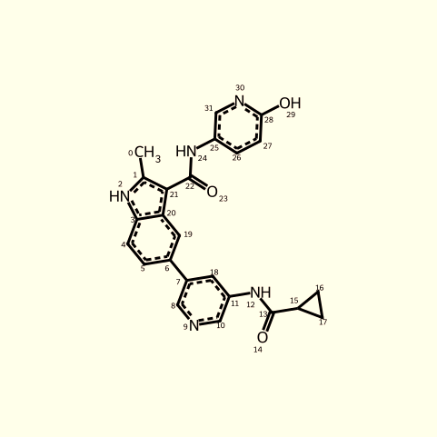 Cc1[nH]c2ccc(-c3cncc(NC(=O)C4CC4)c3)cc2c1C(=O)Nc1ccc(O)nc1